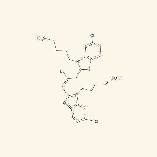 CCC(=Cc1oc2ccc(Cl)cc2[n+]1CCCCS(=O)(=O)O)C=C1Oc2ccc(Cl)cc2N1CCCCS(=O)(=O)O